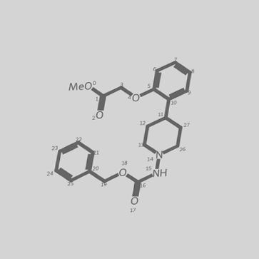 COC(=O)COc1ccccc1C1CCN(NC(=O)OCc2ccccc2)CC1